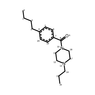 CCCCc1ccc(C(=O)N2CCN(CCC)CC2)cc1